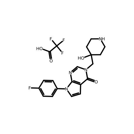 O=C(O)C(F)(F)F.O=c1c2ccn(-c3ccc(F)cc3)c2ncn1CC1(O)CCNCC1